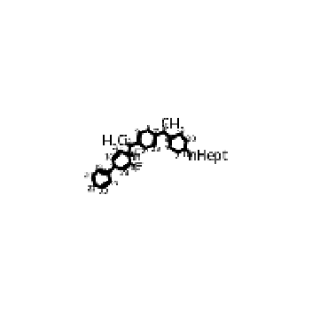 CCCCCCCC1CCC(C(C)C2CCC(C(C)C3(F)C=CC(c4ccccc4)C=C3F)CC2)CC1